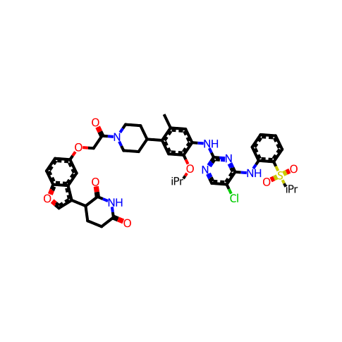 Cc1cc(Nc2ncc(Cl)c(Nc3ccccc3S(=O)(=O)C(C)C)n2)c(OC(C)C)cc1C1CCN(C(=O)COc2ccc3occ(C4CCC(=O)NC4=O)c3c2)CC1